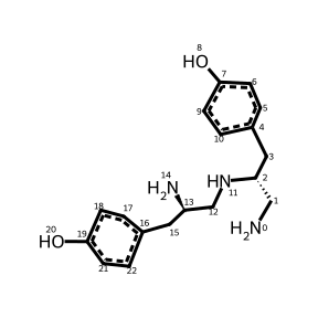 NC[C@@H](Cc1ccc(O)cc1)NC[C@H](N)Cc1ccc(O)cc1